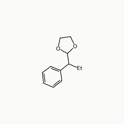 CCC(c1cc[c]cc1)C1OCCO1